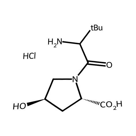 CC(C)(C)C(N)C(=O)N1C[C@H](O)C[C@H]1C(=O)O.Cl